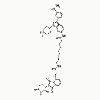 NC(=S)c1cccc(-c2cn(C3CCC(F)(F)CC3)c3cc(NC(=O)CCCCCCCCNC(=O)COc4cccc5c4C(=O)N(C4CCC(=O)NC4=O)C5=O)ccc23)c1